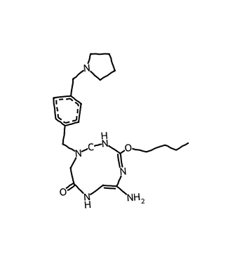 CCCCO/C1=N/C(N)=C/NC(=O)CN(Cc2ccc(CN3CCCC3)cc2)CN1